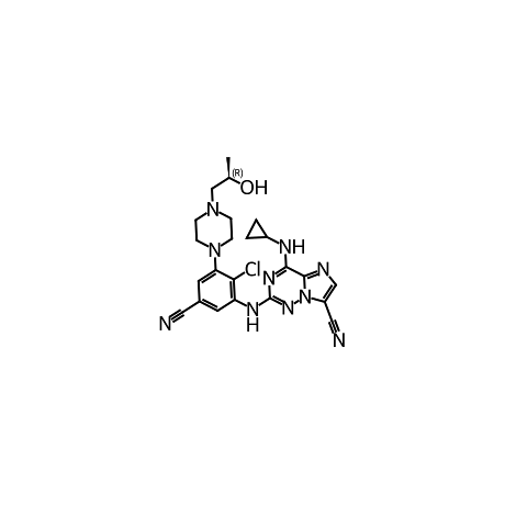 C[C@@H](O)CN1CCN(c2cc(C#N)cc(Nc3nc(NC4CC4)c4ncc(C#N)n4n3)c2Cl)CC1